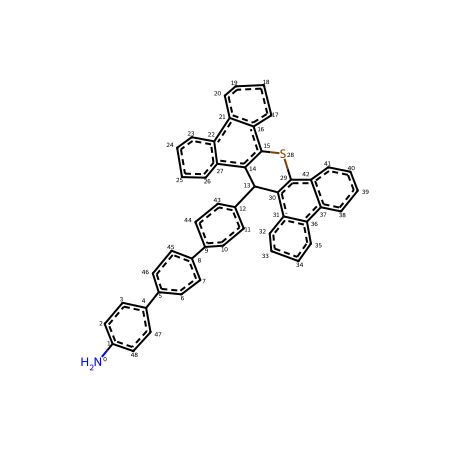 Nc1ccc(-c2ccc(-c3ccc(C4c5c(c6ccccc6c6ccccc56)Sc5c4c4ccccc4c4ccccc54)cc3)cc2)cc1